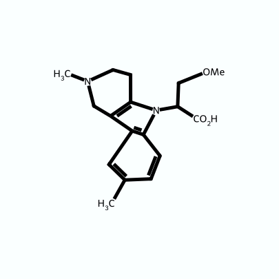 COCC(C(=O)O)n1c2c(c3cc(C)ccc31)CN(C)CC2